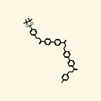 C=C(CCc1ccc(C)cc1)c1ccc(-c2ccc(CCC(=C)c3ccc(-c4ccc(C(=C)CCc5ccc(B6OC(C)(C)C(C)(C)O6)cc5)cc4)cc3)cc2)cc1